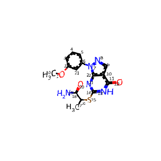 COc1cccc(-n2ncc3c(=O)[nH]c(SC(C)C(N)=O)nc32)c1